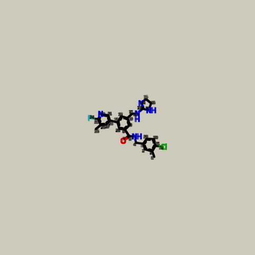 Cc1cc(CNC(=O)c2cc(CNC3=NCCN3)cc(-c3cnc(F)c(C)c3)c2)ccc1Cl